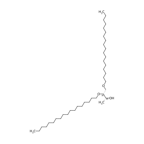 CCCCCCCCCCCCCCCCCCOC[C@@H](OCCCCCCCCCCCCCCCCCC)[C@@H](C)O